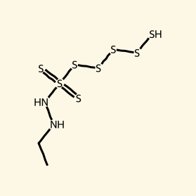 CCNNS(=S)(=S)SSSSS